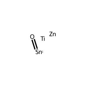 [O]=[Sn].[Ti].[Zn]